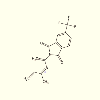 C=C/C(C)=N\C(=C)N1C(=O)c2ccc(C(F)(F)F)cc2C1=O